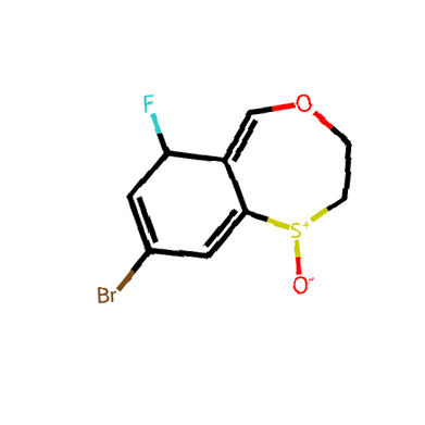 [O-][S+]1CCOC=C2C1=CC(Br)=CC2F